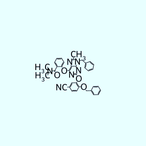 Cc1nc2c(Oc3ccccc3C(=O)N(C)C)nc(Oc3cc(C#N)ccc3OCc3ccccc3)nc2n1Cc1ccccc1